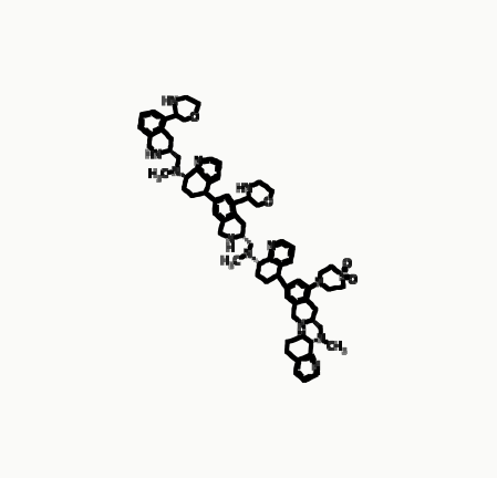 CN(C[C@@H]1Cc2c(cc(C3CC[C@H](N(C)C[C@H]4Cc5c(cc(C6CC[C@H](N(C)C[C@@H]7Cc8c(cccc8C8COCCN8)CN7)c7ncccc76)cc5C5COCCN5)CN4)c4ncccc43)cc2N2CCS(=O)(=O)CC2)CN1)[C@H]1CCCc2cccnc21